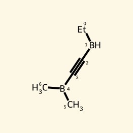 CCBC#CB(C)C